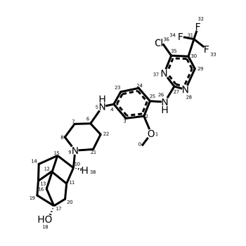 COc1cc(NC2CCN([C@H]3C4CC5CC3C[C@](O)(C5)C4)CC2)ccc1Nc1ncc(C(F)(F)F)c(Cl)n1